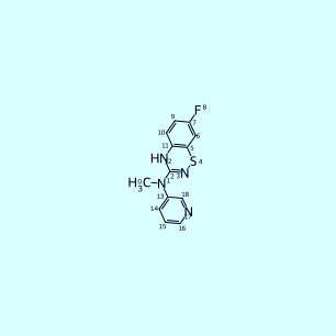 CN(C1=NSc2cc(F)ccc2N1)c1cccnc1